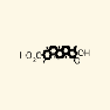 CC1=C(O)C(=O)C=C2C1=CC=C1[C@@]2(C)CC[C@@]2(C)C3C[C@@H](C)C(C(=O)O)C[C@]3(C)CC[C@]12C